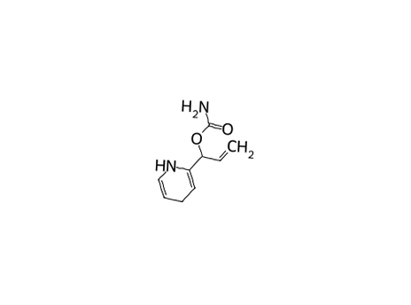 C=CC(OC(N)=O)C1=CCC=CN1